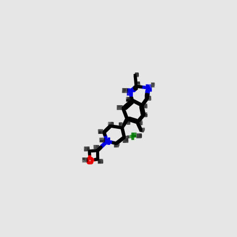 Cc1ncc2cc(C)c([C@@H]3CCN(C4COC4)C[C@H]3F)cc2n1